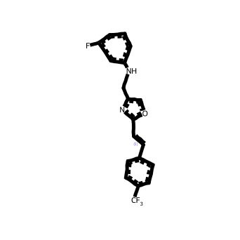 Fc1cccc(NCc2coc(/C=C/c3ccc(C(F)(F)F)cc3)n2)c1